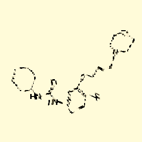 O=C(Nc1ccc(F)c(OCCCN2CCOCC2)c1)NC1CCCCC1